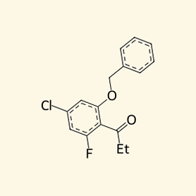 CCC(=O)c1c(F)cc(Cl)cc1OCc1ccccc1